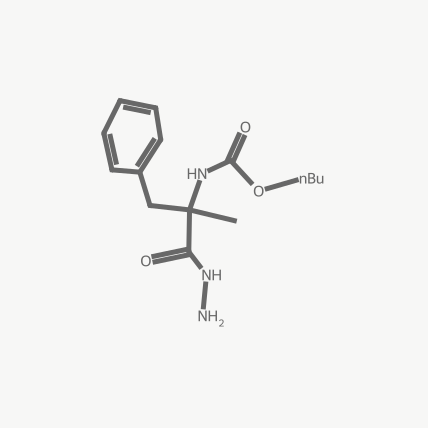 CCCCOC(=O)NC(C)(Cc1ccccc1)C(=O)NN